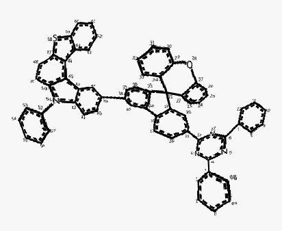 c1ccc(-c2nc(-c3ccccc3)nc(-c3ccc4c(c3)C3(c5ccccc5Oc5ccccc53)c3ccc(-c5ccc6c(c5)c5c7c(ccc5n6-c5ccccc5)sc5ccccc57)cc3-4)n2)cc1